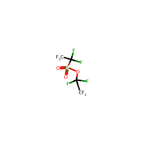 O=S(=O)(OC(F)(F)C(F)(F)F)C(F)(F)C(F)(F)F